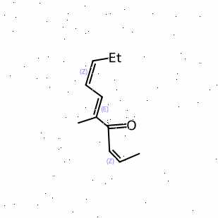 C/C=C\C(=O)/C(C)=C/C=C\CC